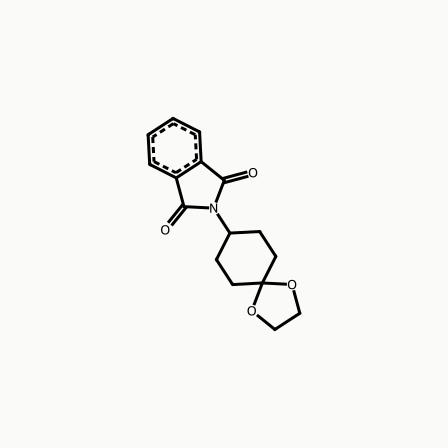 O=C1c2ccccc2C(=O)N1C1CCC2(CC1)OCCO2